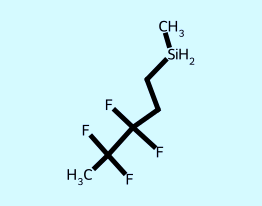 C[SiH2]CCC(F)(F)C(C)(F)F